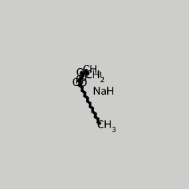 C=C(C)C(=O)OOS(=O)(=O)CCCCCCCCCCCCCCCC.[NaH]